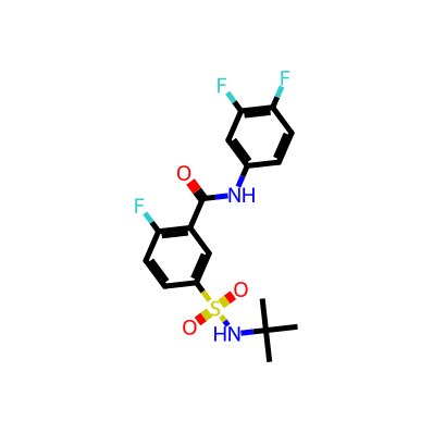 CC(C)(C)NS(=O)(=O)c1ccc(F)c(C(=O)Nc2ccc(F)c(F)c2)c1